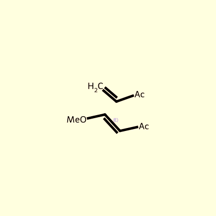 C=CC(C)=O.CO/C=C/C(C)=O